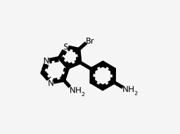 Nc1ccc(-c2c(Br)sc3ncnc(N)c23)cc1